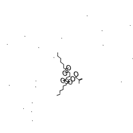 C=C(C)C(=O)OC(CS(=O)(=O)CCCCCC)CS(=O)(=O)CCCCCC